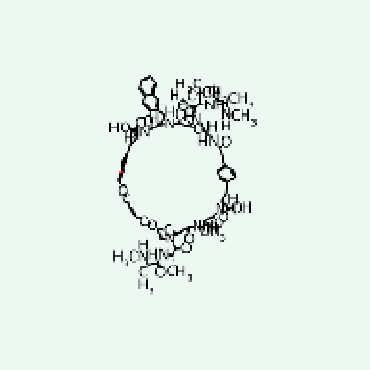 CC[C@H](NC(=O)[C@H](C)NC)C(=O)N1CC2CC1C(=O)N[C@@H](C)C(=O)N[C@H](C(=O)O)Cc1ccc(cc1)C(=O)N[C@H]1C[C@@H](C(=O)N[C@@H](Cc3ccc4ccccc4c3)C(=O)N[C@H](C(=O)O)Cc3ccc(cc3)OC/C=C/CO2)N(C(=O)[C@@H](NC(=O)[C@H](C)NC)C(C)(C)C)C1